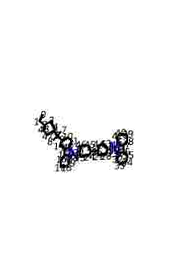 C=Cc1ccc(C(C)(C)c2ccc3c(c2)c2ccccc2n3-c2ccc(-c3ccc(-n4c5ccccc5c5ccccc54)cc3)cc2)cc1